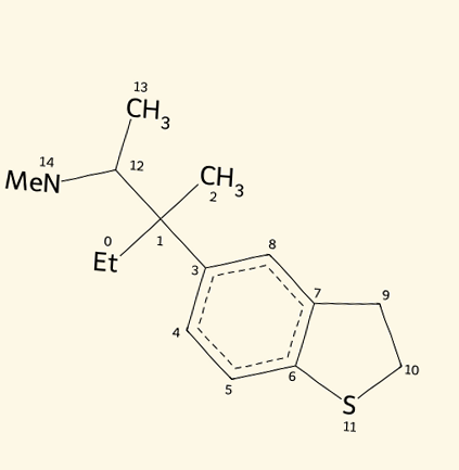 CCC(C)(c1ccc2c(c1)CCS2)C(C)NC